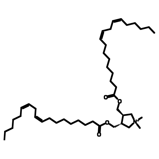 CCCCC/C=C\C/C=C\CCCCCCCC(=O)OC[C@H]1C[N+](C)(C)C[C@@H]1COC(=O)CCCCCCC/C=C\C/C=C\CCCCC